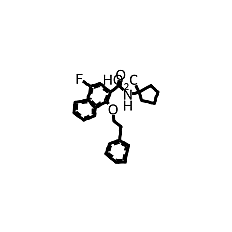 O=C(NC1(C(=O)O)CCCC1)c1cc(F)c2ccccc2c1OCCc1ccccc1